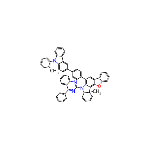 CC1CC=CC=C1n1c2ccccc2c2cc(-c3ccc(-c4cc5c(oc6ccccc65)c5c4N(c4nc(-c6ccccc6)c6ccccc6n4)C4C=CC=CC54C)cc3)ccc21